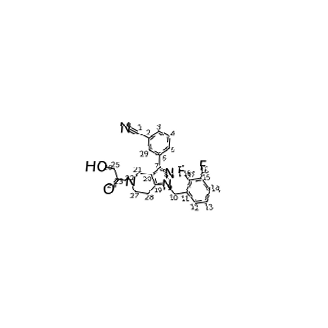 N#Cc1cccc(-c2nn(Cc3cccc(F)c3F)c3c2CN(C(=O)CO)CC3)c1